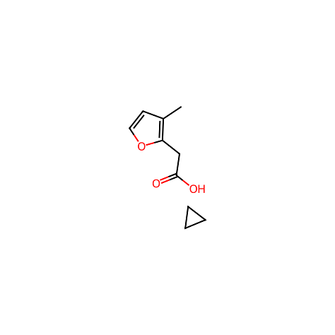 C1CC1.Cc1ccoc1CC(=O)O